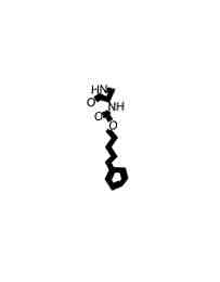 O=C(N[C@H]1CNC1=O)OCCCCCc1ccccc1